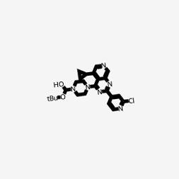 CC(C)(C)OC(O)N1CCN(c2nc(-c3ccnc(Cl)c3)nc3cncc(C4CC4)c23)CC1